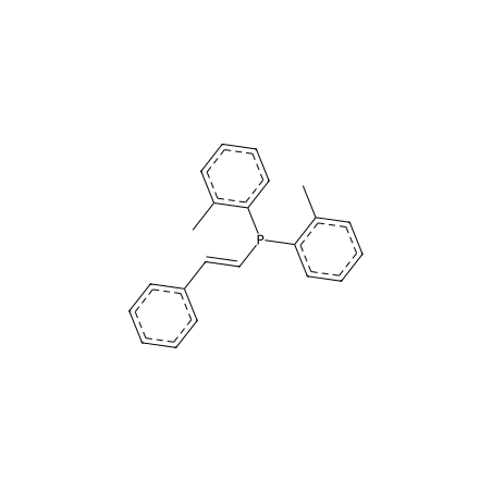 Cc1ccccc1P(C=Cc1ccccc1)c1ccccc1C